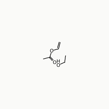 C=COC(C)=O.CCO